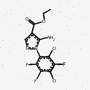 CCOC(=O)c1cnn(-c2c(F)c(F)c(Cl)c(F)c2Cl)c1N